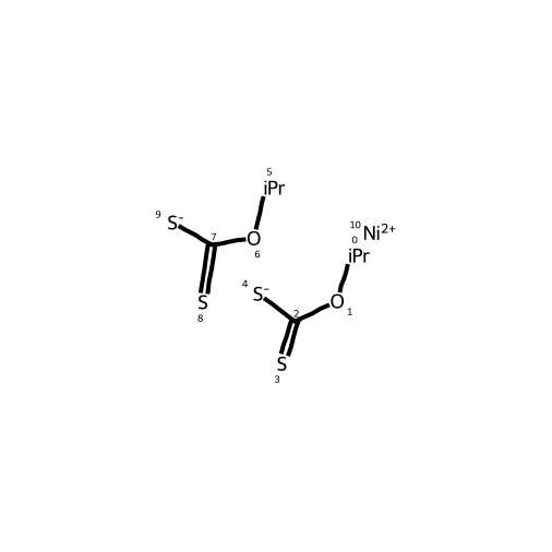 CC(C)OC(=S)[S-].CC(C)OC(=S)[S-].[Ni+2]